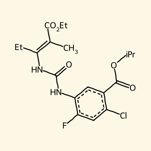 CCOC(=O)C(C)=C(CC)NC(=O)Nc1cc(C(=O)OC(C)C)c(Cl)cc1F